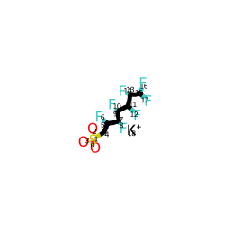 O=S(=O)([O-])CC(F)C(F)C(F)C(F)C(F)C(F)F.[K+]